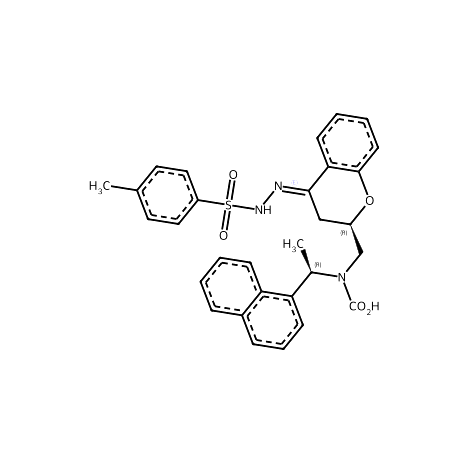 Cc1ccc(S(=O)(=O)N/N=C2\C[C@H](CN(C(=O)O)[C@H](C)c3cccc4ccccc34)Oc3ccccc32)cc1